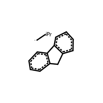 [CH2]C(C)C.c1ccc2c(c1)Cc1ccccc1-2